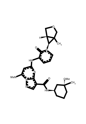 CNc1cc(Nc2cccn([C@H]3[C@@H]4COCC34C)c2=O)nc2c(C(=O)N[C@@H]3CCC[C@@](C)(OC)C3)cnn12